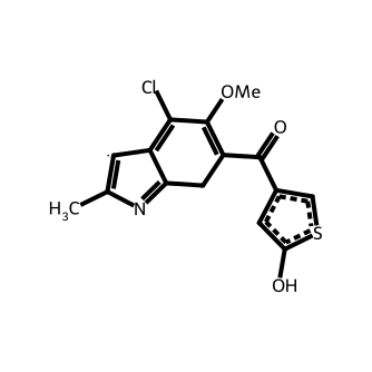 COC1=C(C(=O)c2csc(O)c2)CC2=NC(C)=[C]C2=C1Cl